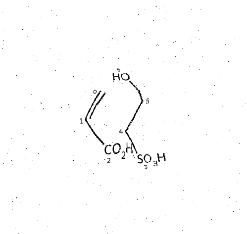 C=CC(=O)O.O=S(=O)(O)CCO